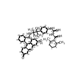 C[C@@H]1CCC[C@H](C)N1C(=N)NC(=N)Nc1ccc(C(C)(C)C(C)(C)NC(=O)c2ccccc2-c2c3ccc(=O)cc-3oc3cc(O)ccc23)cc1